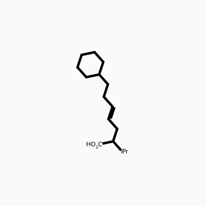 CC(C)C(C/C=C/CCC1CCCCC1)C(=O)O